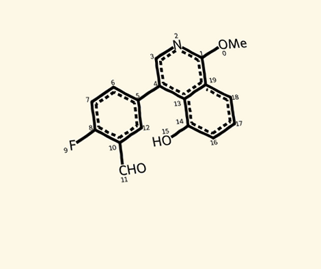 COc1ncc(-c2ccc(F)c(C=O)c2)c2c(O)cccc12